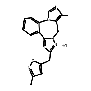 Cc1cc(Cc2nc3n(n2)Cc2c(C)ncn2-c2ccccc2-3)on1.Cl